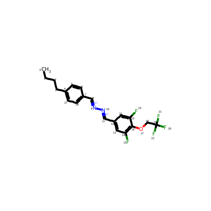 CCCCc1ccc(/C=N/N=C/c2cc(F)c(OCC(F)(F)F)c(F)c2)cc1